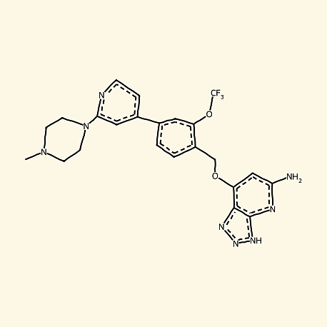 CN1CCN(c2cc(-c3ccc(COc4cc(N)nc5[nH]nnc45)c(OC(F)(F)F)c3)ccn2)CC1